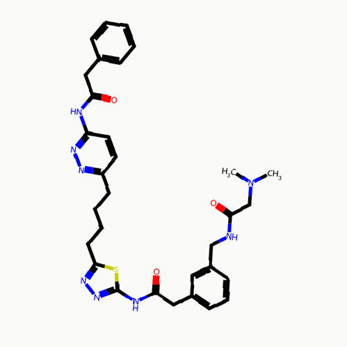 CN(C)CC(=O)NCc1cccc(CC(=O)Nc2nnc(CCCCc3ccc(NC(=O)Cc4ccccc4)nn3)s2)c1